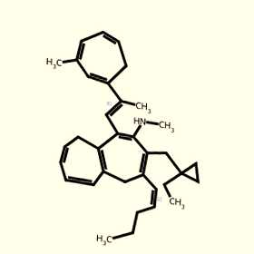 CCC/C=C\C1=C(CC2(CC)CC2)C(NC)=C(/C=C(\C)C2=CC(C)=CC=CC2)C2=C(C=CC=CC2)C1